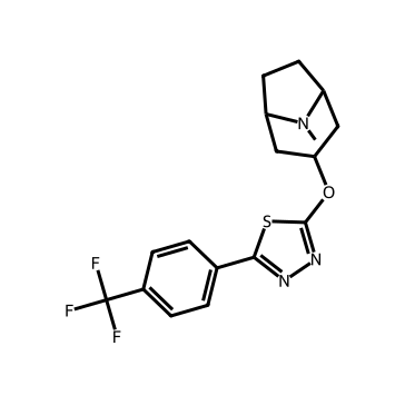 CN1C2CCC1CC(Oc1nnc(-c3ccc(C(F)(F)F)cc3)s1)C2